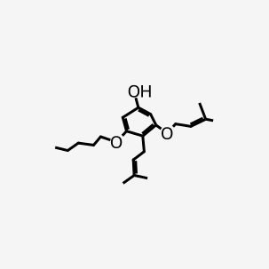 CCCCCOc1cc(O)cc(OCC=C(C)C)c1CC=C(C)C